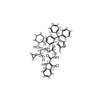 O=C(N[C@@H](Cc1cn(C(c2ccccc2)(c2ccccc2)c2ccccc2)cn1)C(=O)N[C@@H](CC1CCCCC1)[C@@H](O)[C@@H](O)C1CC1)c1[nH]c2ccccc2c1Cl